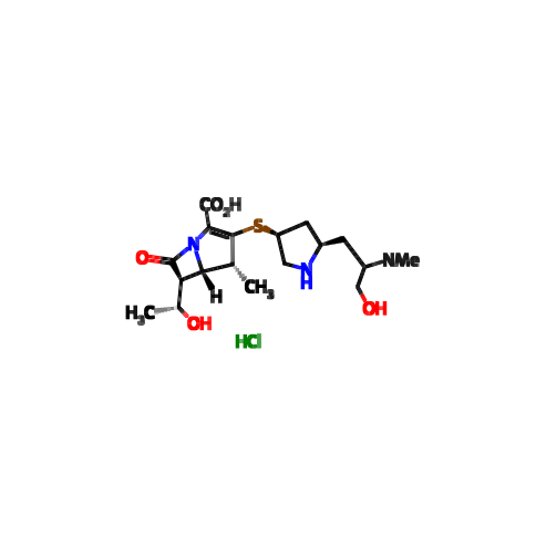 CNC(CO)C[C@@H]1C[C@H](SC2=C(C(=O)O)N3C(=O)[C@H]([C@@H](C)O)[C@H]3[C@H]2C)CN1.Cl